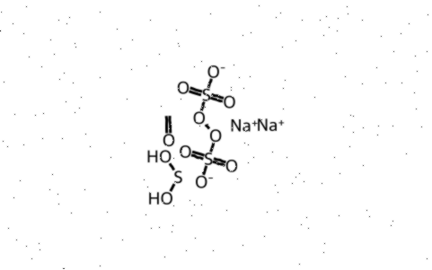 C=O.O=S(=O)([O-])OOS(=O)(=O)[O-].OSO.[Na+].[Na+]